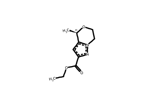 CCOC(=O)c1cc2n(n1)CCO[C@@H]2C